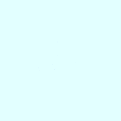 Cc1cccc(C(=O)c2cc(Br)ccc2O)c1